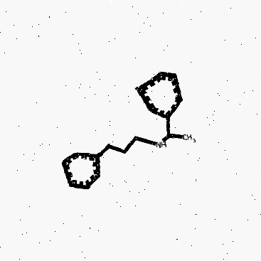 CC(NCCCc1ccccc1)c1ccccc1